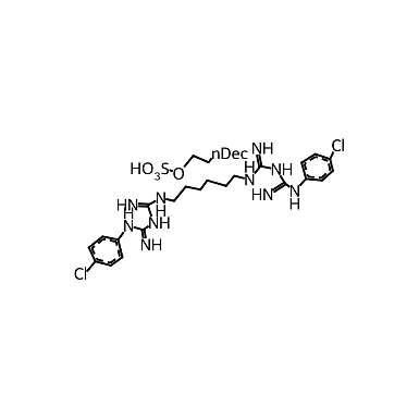 CCCCCCCCCCCCOS(=O)(=O)O.N=C(NCCCCCCNC(=N)NC(=N)Nc1ccc(Cl)cc1)NC(=N)Nc1ccc(Cl)cc1